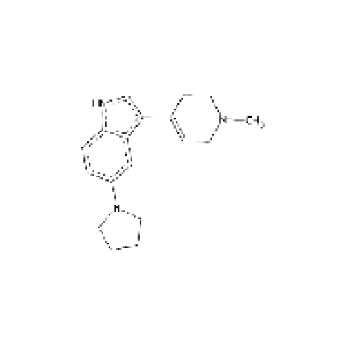 CN1CC=C(c2c[nH]c3ccc(N4CCCC4)cc23)CC1